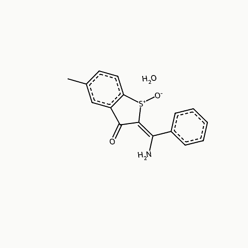 Cc1ccc2c(c1)C(=O)/C(=C(\N)c1ccccc1)[S+]2[O-].O